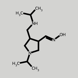 CC(C)NCC1CN(C(C)C)CC1C=NO